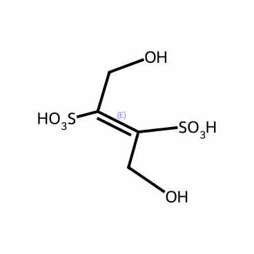 O=S(=O)(O)/C(CO)=C(\CO)S(=O)(=O)O